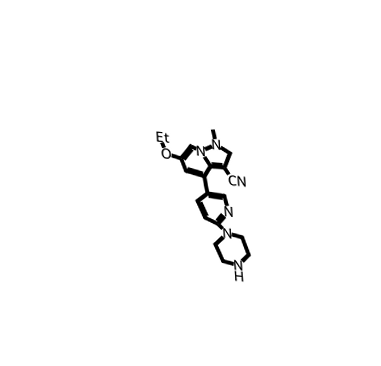 CCOC1=CN2C(=C(C#N)CN2C)C(c2ccc(N3CCNCC3)nc2)=C1